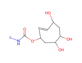 O=C(NI)OC1/C=C/C(O)CC(O)C(O)C1